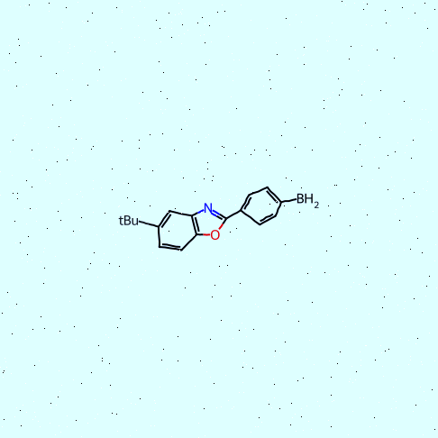 Bc1ccc(-c2nc3cc(C(C)(C)C)ccc3o2)cc1